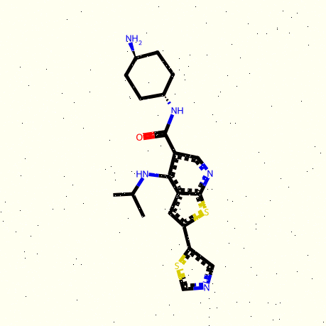 CC(C)Nc1c(C(=O)N[C@H]2CC[C@H](N)CC2)cnc2sc(-c3cncs3)cc12